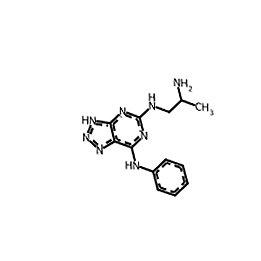 CC(N)CNc1nc(Nc2ccccc2)c2nn[nH]c2n1